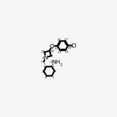 N[C@@H]1CCCC[C@@H]1CN1CC(Oc2ccc(Cl)cc2)C1